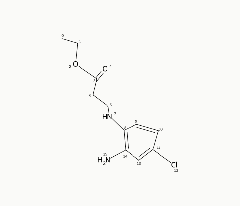 CCOC(=O)CCNc1ccc(Cl)cc1N